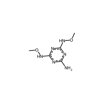 CONc1nc(N)nc(NOC)n1